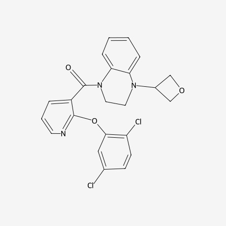 O=C(c1cccnc1Oc1cc(Cl)ccc1Cl)N1CCN(C2COC2)c2ccccc21